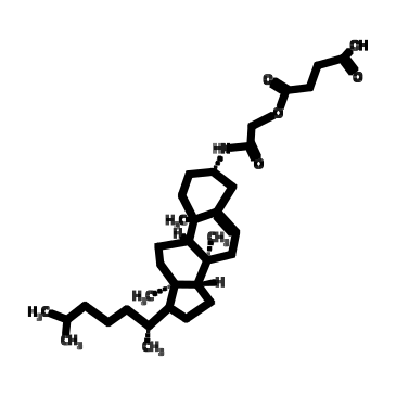 CC(C)CCC[C@@H](C)C1CC[C@H]2[C@]3(C)CC=C4C[C@@H](NC(=O)COC(=O)CCC(=O)O)CC[C@]4(C)[C@H]3CC[C@]12C